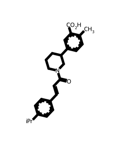 Cc1ccc(C2CCCN(C(=O)C=Cc3ccc(C(C)C)cc3)C2)cc1C(=O)O